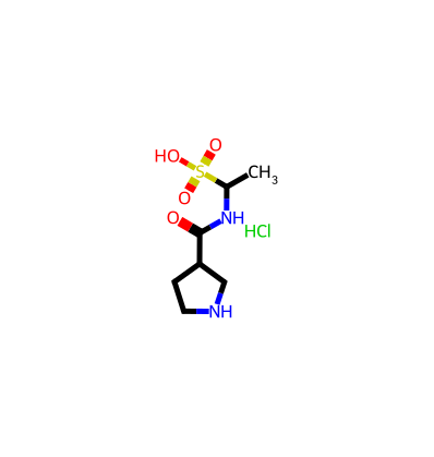 CC(NC(=O)C1CCNC1)S(=O)(=O)O.Cl